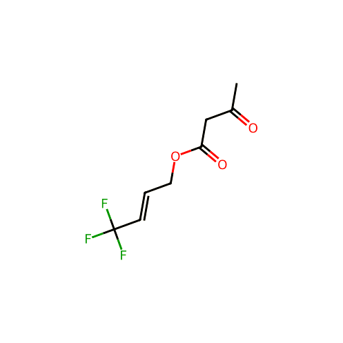 CC(=O)CC(=O)OCC=CC(F)(F)F